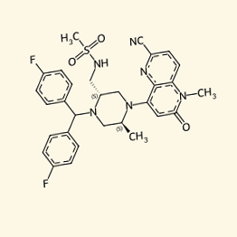 C[C@H]1CN(C(c2ccc(F)cc2)c2ccc(F)cc2)[C@H](CNS(C)(=O)=O)CN1c1cc(=O)n(C)c2ccc(C#N)nc12